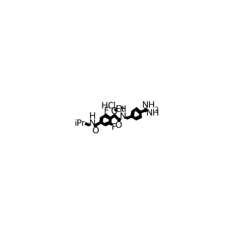 CCOC(C(=O)NCc1ccc(C(=N)N)cc1)c1c(F)cc(C(=O)NCC(C)C)cc1F.Cl